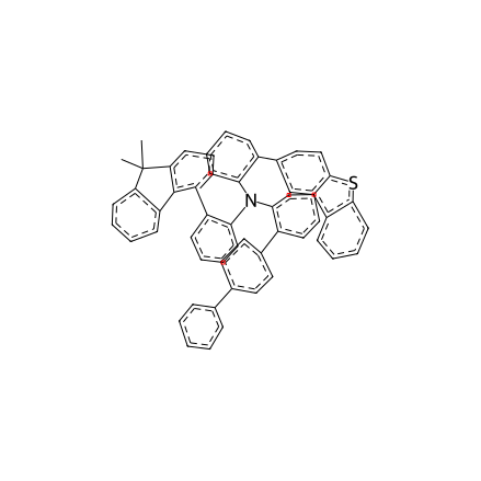 CC1(C)c2ccccc2-c2c(-c3ccccc3N(c3ccccc3-c3ccc(-c4ccccc4)cc3)c3ccccc3-c3ccc4sc5ccccc5c4c3)cccc21